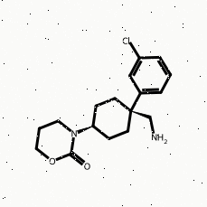 NC[C@]1(c2cccc(Cl)c2)CC[C@H](N2CCCOC2=O)CC1